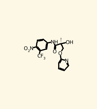 C[C@](O)(COc1ccccn1)C(=O)Nc1ccc([N+](=O)[O-])c(C(F)(F)F)c1